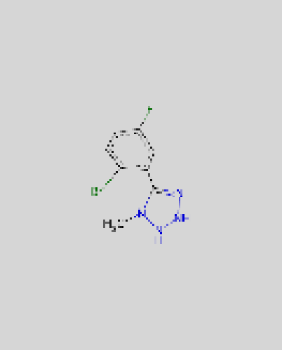 CN1NNN=C1c1cc(F)ccc1Br